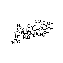 C[C@@H]1CCN(C(=O)CC#N)C[C@@H]1N(C)c1ncnc2c1ccn2C(=O)N(C)c1cc(Cl)ccc1O[C@@H]1O[C@H](C(=O)O)[C@@H](O)[C@H](O)[C@H]1O